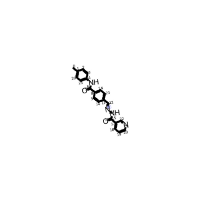 Cc1ccc(NC(=O)c2ccc(/C=N/NC(=O)c3cccnc3)cc2)cc1